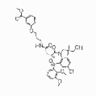 COC(=O)c1cccc(OCCCNC(=O)C[C@H]2O[C@H](c3cccc(OC)c3OC)c3cc(Cl)ccc3N(CC(C)(C)CO)C2=O)c1